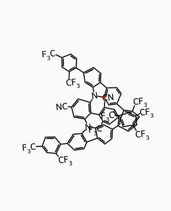 N#Cc1cc(-n2c3cc(-c4ccc(C(F)(F)F)cc4C(F)(F)F)ccc3c3ccc(-c4ccc(C(F)(F)F)cc4C(F)(F)F)cc32)c(-c2c(C#N)cccc2C(F)(F)F)c(-n2c3cc(-c4ccc(C(F)(F)F)cc4C(F)(F)F)ccc3c3ccc(-c4ccc(C(F)(F)F)cc4C(F)(F)F)cc32)c1